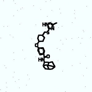 Cc1c[nH]c(SCC2CCC(Oc3ccc(C(=O)NC4C5CC6CC(C5)CC4C6)cc3)CC2)n1